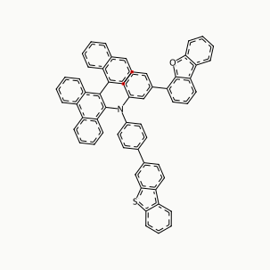 c1cc(-c2cccc3c2oc2ccccc23)cc(N(c2ccc(-c3ccc4c(c3)sc3ccccc34)cc2)c2c(-c3cccc4ccccc34)c3ccccc3c3ccccc23)c1